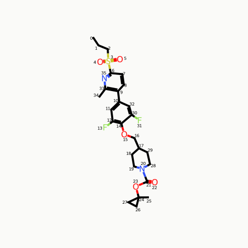 CCCS(=O)(=O)c1ccc(-c2cc(F)c(OCC3CCN(C(=O)OC4(C)CC4)CC3)c(F)c2)c(C)n1